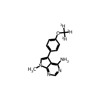 [2H]C([2H])([2H])Oc1ccc(-c2cn(C)c3ncnc(N)c23)cc1